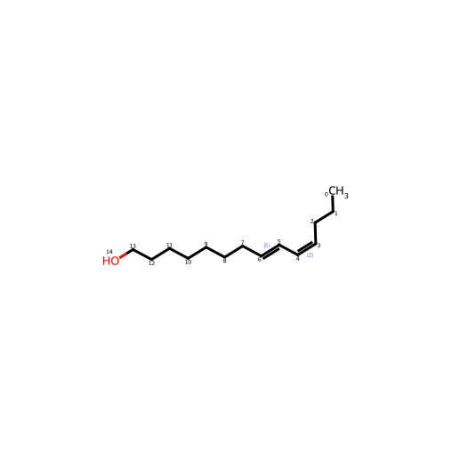 CCC/C=C\C=C\CCCCCCCO